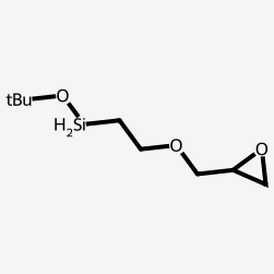 CC(C)(C)O[SiH2]CCOCC1CO1